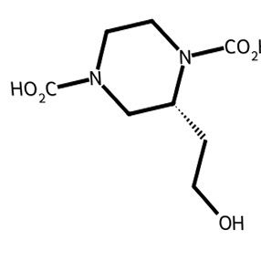 O=C(O)N1CCN(C(=O)O)[C@H](CCO)C1